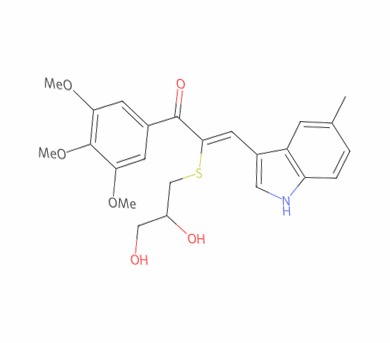 COc1cc(C(=O)C(=Cc2c[nH]c3ccc(C)cc23)SCC(O)CO)cc(OC)c1OC